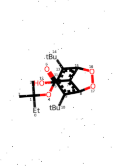 CCC(C)(C)OC(=O)c1c2c(C(C)(C)C)c(O)c(C(C)(C)C)c1OO2